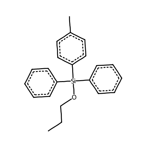 CCCO[Si](c1ccccc1)(c1ccccc1)c1ccc(C)cc1